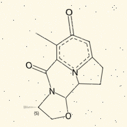 Cc1c2n3c(cc1=O)CCC3C1OC[C@H](C)N1C2=O